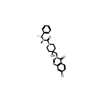 C[C@H](c1ccccc1)N(C)C(=O)N1CCC(O)(Cn2cnc3cc(Cl)ccc3c2=O)CC1